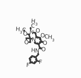 CCN1C(=O)c2c(OC)c(=O)c(C(=O)NCc3ccc(F)cc3F)cn2C2(COC2)C1OC